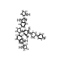 Fc1ccc(C2CCN(c3c(F)cc(N4[C@@H](c5ccc6nc([C@@H]7CCCN7)[nH]c6c5)CC[C@@H]4c4ccc5nc([C@@H]6CCCN6)[nH]c5c4)cc3F)CC2)cc1